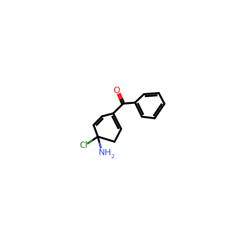 NC1(Cl)C=CC(C(=O)c2ccccc2)=CC1